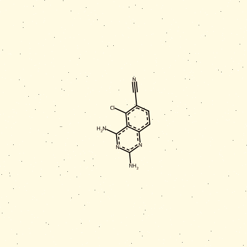 N#Cc1ccc2nc(N)nc(N)c2c1Cl